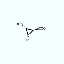 CCC[C@H]1O[C@@H]1C(=O)[O-].[K+]